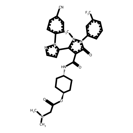 CN(C)CC(=O)O[C@H]1CC[C@H](NC(=O)c2c(-c3ccnn3-c3ccc(C#N)cc3)n(C)n(-c3cccc(C(F)(F)F)c3)c2=O)CC1